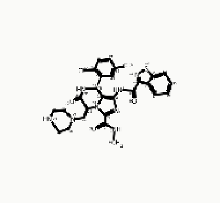 CNC(=O)c1nc(NC(=O)c2nsc3ccccc23)c2n1C(CN1CCNCC1)C(=O)N[C@H]2c1cc(F)ccc1Cl